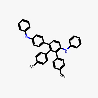 Cc1ccc(-c2c(Nc3ccccc3)ccc(-c3ccc(Nc4ccccc4)cc3)c2-c2ccc(C)cc2)cc1